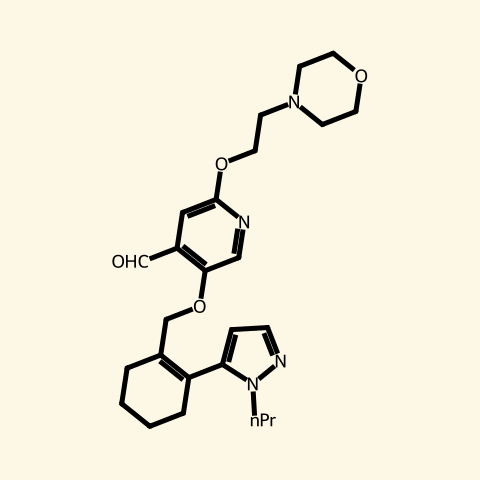 CCCn1nccc1C1=C(COc2cnc(OCCN3CCOCC3)cc2C=O)CCCC1